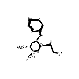 C[C@H]1CN(Cc2ccccc2)[C@@H](CCO)CN1C(=O)O